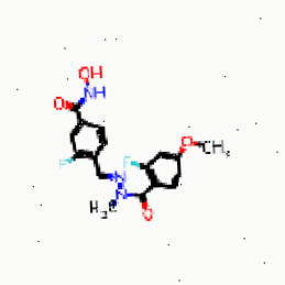 COc1ccc(C(=O)N(C)N=Cc2ccc(C(=O)NO)cc2F)c(F)c1